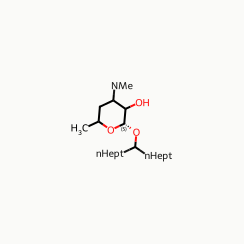 CCCCCCCC(CCCCCCC)O[C@@H]1OC(C)CC(NC)C1O